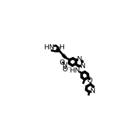 Cc1ccc(Oc2ccc(Nc3ncnc4cc(C#CC5C6CNC[C@@H]56)c([N+](=O)[O-])cc34)cc2C)cn1